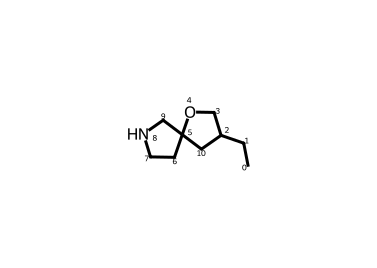 CCC1COC2(CCNC2)C1